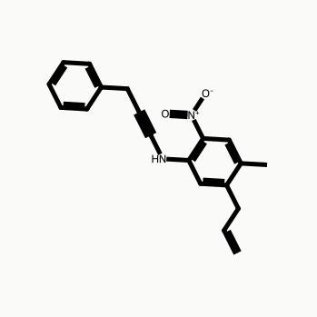 C=CCc1cc(NC#CCc2ccccc2)c([N+](=O)[O-])cc1C